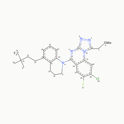 COCc1nnc2nc(N3CCCc4c(CCC(C)(C)C(F)(F)F)cccc43)c3cc(F)c(Cl)cc3n12